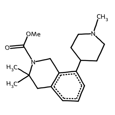 COC(=O)N1Cc2c(cccc2C2CCN(C)CC2)CC1(C)C